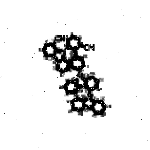 N#Cc1cccc(-n2c3ccccc3c3cccc(C#N)c32)c1-c1ccc(-n2c3ccccc3c3c(-n4c5ccccc5c5ccccc54)cccc32)cc1